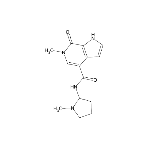 CN1CCCC1NC(=O)c1cn(C)c(=O)c2[nH]ccc12